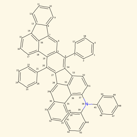 c1ccc(-c2c3cc4c5ccccc5c5cccc(c3c(-c3ccccc3)c3c6cc7ccccc7c7c(N(c8ccccc8)c8ccccc8)ccc(c23)c67)c54)cc1